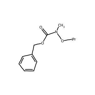 CC(C)ON(C)C(=O)OCc1ccccc1